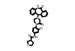 O=C1Nc2ccccc2C(N2CCN(c3ccc(NC(=O)C4CCOC4)cc3Cl)C(=O)C2)c2ccccc21